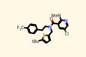 CNc1ncc(Cl)cc1C(=O)N(CCc1ccc(C(F)(F)F)cc1)Cc1ccc(C(C)(C)C)s1